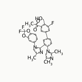 Cc1cn(-c2ccc(-c3cc(F)c(CO)c(S(C)(=O)=O)c3)cc2-c2nc(C)cn2-c2ccc3c(c2)OC(F)(F)O3)c(C)n1